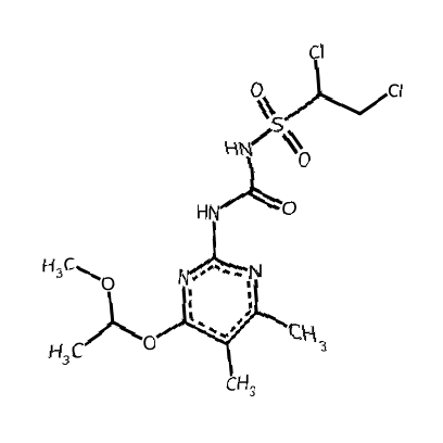 COC(C)Oc1nc(NC(=O)NS(=O)(=O)C(Cl)CCl)nc(C)c1C